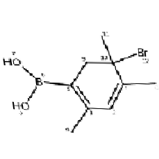 CC1=CC(C)=C(B(O)O)CC1(C)Br